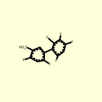 O=S(=O)(O)c1cc(-c2c(F)cc(F)c(F)c2F)c(F)cc1F